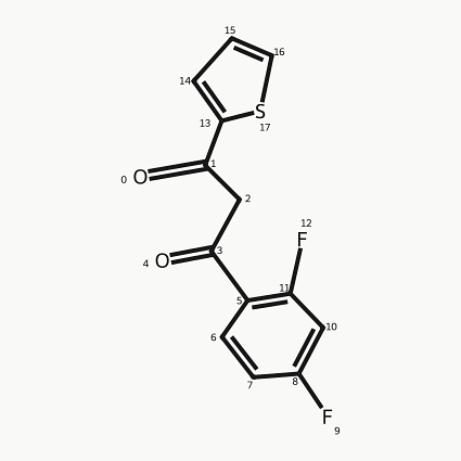 O=C(CC(=O)c1ccc(F)cc1F)c1cccs1